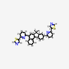 CC1(C)c2cc(-c3cccc(-c4cncs4)n3)ccc2-c2c1cc(-c1cccc(-c3cncs3)n1)c1ccccc21